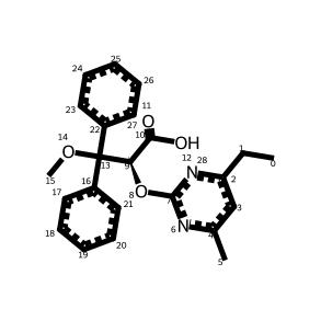 CCc1cc(C)nc(O[C@H](C(=O)O)C(OC)(c2ccccc2)c2ccccc2)n1